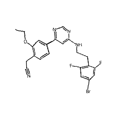 CCOc1cc(-c2cc(NCCc3c(F)cc(Br)cc3F)ncn2)ccc1CC#N